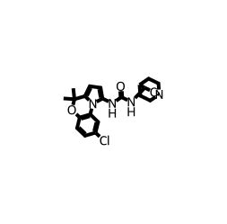 CC1(C)Oc2ccc(Cl)cc2-n2c(NC(=O)NC3CN4CCC3CC4)ccc21